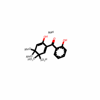 COC1(OC)C=C(O)C(C(=O)c2ccccc2O)=CC1(S(=O)(=O)O)S(=O)(=O)O.[NaH]